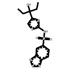 CCC(O)(CC)c1csc(NS(=O)(=O)c2ccc3nsnc3c2)n1